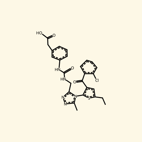 CCc1cc(C(=O)c2ccccc2Cl)c(-n2c(C)nnc2CNC(=O)Nc2cccc(CC(=O)O)c2)s1